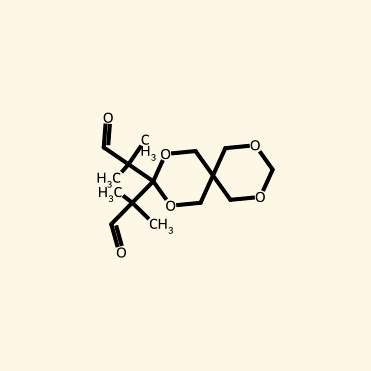 CC(C)(C=O)C1(C(C)(C)C=O)OCC2(COCOC2)CO1